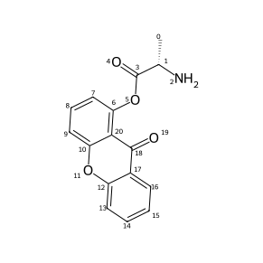 C[C@H](N)C(=O)Oc1cccc2oc3ccccc3c(=O)c12